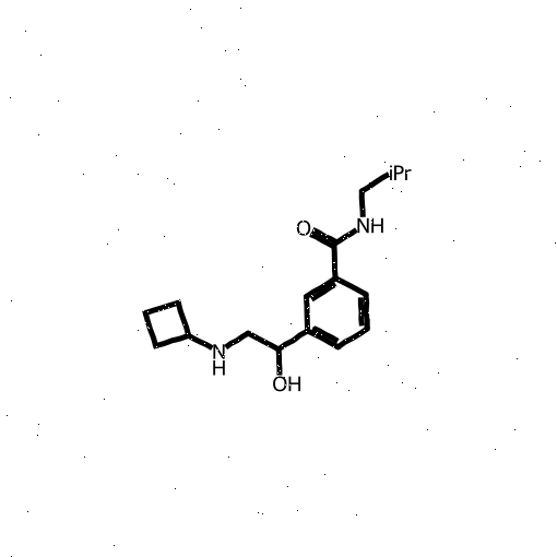 CC(C)CNC(=O)c1cccc(C(O)CNC2CCC2)c1